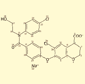 O=C([O-])C1CCOc2cc(Oc3ccc(C(=O)N(CCO)c4ccc(Cl)cc4)cc3)c(Cl)cc21.[Na+]